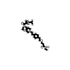 CCNC(=O)CCOCCc1ccc(CCN2CCC3(CC2)CN(C(=O)c2csc(C(C)C)n2)CCO3)cc1